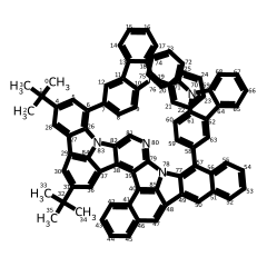 CC(C)(C)c1cc(-c2ccc3c(c2)c2ccccc2n3-c2ccccc2)c2c(c1)c1cc(C(C)(C)C)cc3c4c5c6c7ccccc7cc7c8cc9ccccc9c(-c9ccc%10c(c9)c9ccccc9n%10-c9ccccc9)c8n(c5ncc4n2c13)c76